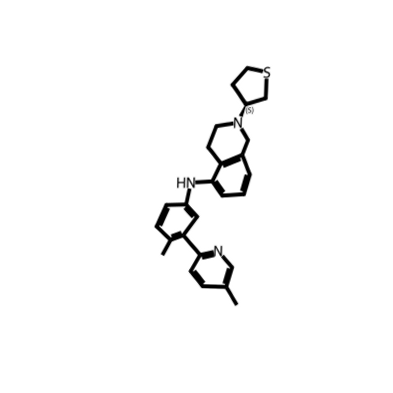 Cc1ccc(-c2cc(Nc3cccc4c3CCN([C@H]3CCSC3)C4)ccc2C)nc1